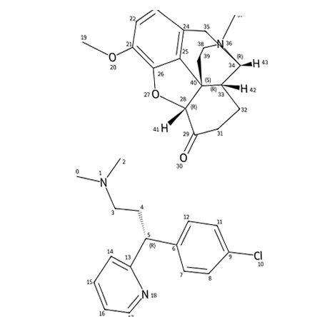 CN(C)CC[C@H](c1ccc(Cl)cc1)c1ccccn1.COc1ccc2c3c1O[C@H]1C(=O)CC[C@H]4[C@@H](C2)N(C)CC[C@]314